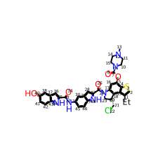 CCc1csc2c(OC(=O)N3CCN(C)CC3)cc3c(c12)[C@H](CCl)CN3C(=O)c1cc2cc(NC(=O)c3cc4cc(O)ccc4[nH]3)ccc2[nH]1